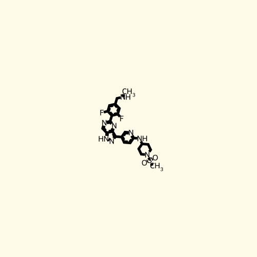 CNCc1cc(F)c(-c2ncc3[nH]nc(-c4ccc(NC5CCN(S(C)(=O)=O)CC5)nc4)c3n2)c(F)c1